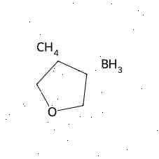 B.C.C1CCOC1